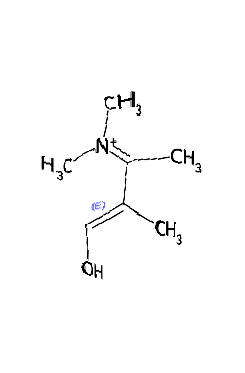 CC(/C(C)=C/O)=[N+](C)C